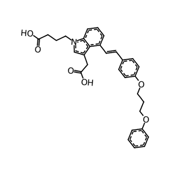 O=C(O)CCCn1cc(CC(=O)O)c2c(/C=C/c3ccc(OCCCOc4ccccc4)cc3)cccc21